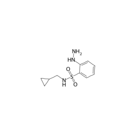 NNc1ccccc1S(=O)(=O)NCC1CC1